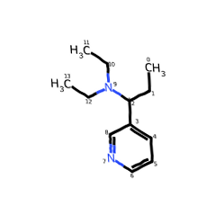 CC[C](c1cccnc1)N(CC)CC